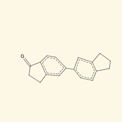 O=C1CCc2cc(-c3ccc4c(c3)CCC4)ccc21